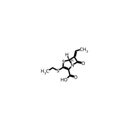 CC=C1C(=O)N2C(C(=O)O)=C(SCC)S[C@H]12